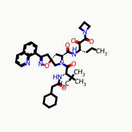 CCC[C@H](NC(=O)[C@@H]1C[C@]2(CC(c3cccc4cccnc34)=NO2)CN1C(=O)[C@@H](NC(=O)CC1CCCCC1)C(C)(C)C)C(=O)C(=O)N1CCC1